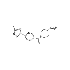 CCC(c1ccc(-c2nnn(C)n2)cc1)N1CCC(C(=O)O)CC1